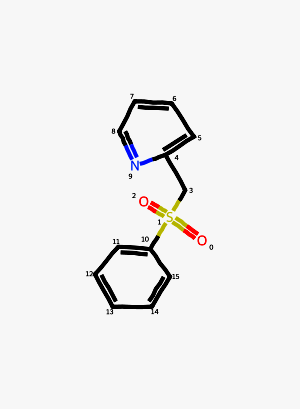 O=S(=O)(Cc1ccccn1)c1ccccc1